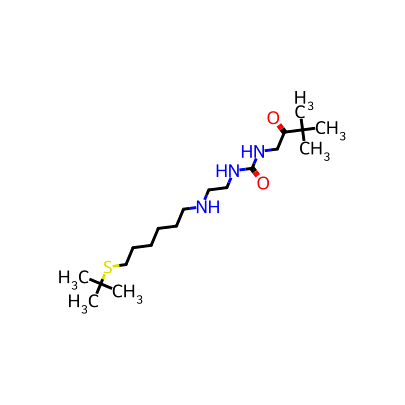 CC(C)(C)SCCCCCCNCCNC(=O)NCC(=O)C(C)(C)C